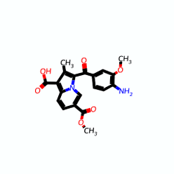 COC(=O)c1ccc2c(C(=O)O)c(C)c(C(=O)c3ccc(N)c(OC)c3)n2c1